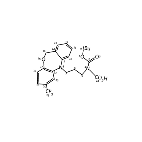 CC(C)(C)OC(=O)N(CCCN1c2ccccc2COc2ccc(C(F)(F)F)cc21)C(=O)O